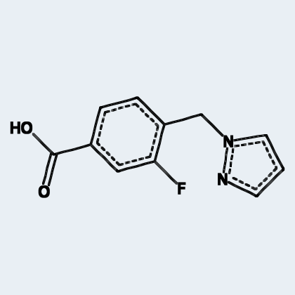 O=C(O)c1ccc(Cn2cccn2)c(F)c1